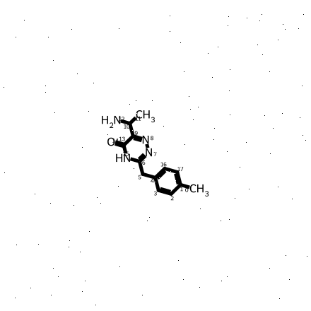 Cc1ccc(Cc2nnc(C(C)N)c(=O)[nH]2)cc1